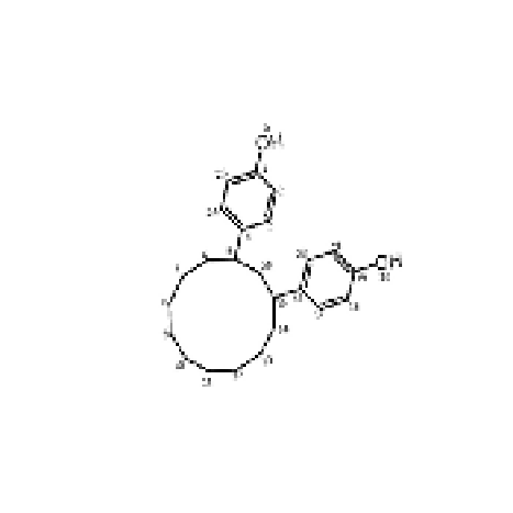 Oc1ccc(C2CCCCCCCCCC(c3ccc(O)cc3)C2)cc1